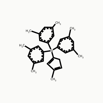 CC1=CCC([Si](c2cc(C)cc(C)c2)(c2cc(C)cc(C)c2)c2cc(C)cc(C)c2)=C1